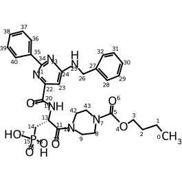 CCCCOC(=O)N1CCN(C(=O)[C@H](CP(=O)(O)O)NC(=O)c2cc(NCc3ccccc3)nc(-c3ccccc3)n2)CC1